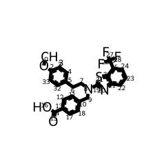 COc1ccc(CCN(Cc2ccc(C(=O)O)cc2)c2nc3cccc(C(F)(F)F)c3s2)cc1